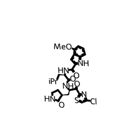 COc1cccc2[nH]c(C(=O)N[C@H](CC(C)C)C(=O)N[C@H](C[C@@H]3CCNC3=O)C(=O)c3nc(Cl)cs3)cc12